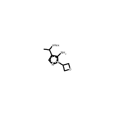 CCCCCCC(C)c1cnn(C2COC2)c1N